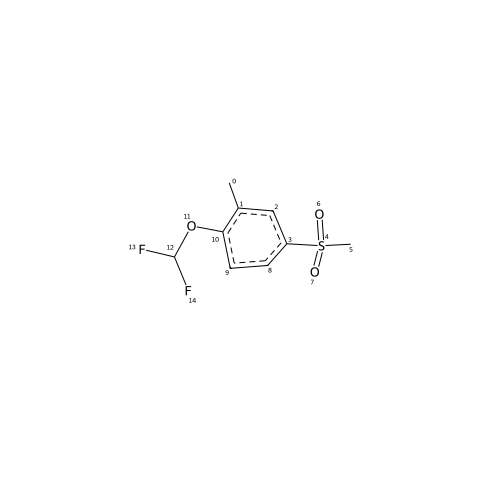 Cc1cc(S(C)(=O)=O)ccc1OC(F)F